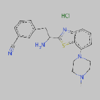 CN1CCN(c2cccc3nc(C(N)Cc4cccc(C#N)c4)sc23)CC1.Cl